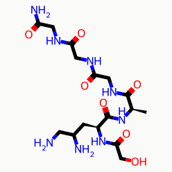 C[C@@H](NC(=O)[C@H](CC(N)CN)NC(=O)CO)C(=O)NCC(=O)NCC(=O)NCC(N)=O